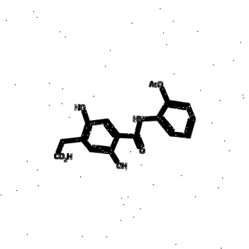 CC(=O)Oc1ccccc1NC(=O)c1cc(O)c(CC(=O)O)cc1O